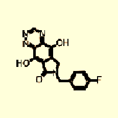 O=C1c2c(c(O)c3ncnnc3c2O)CN1Cc1ccc(F)cc1